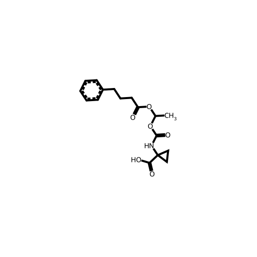 CC(OC(=O)CCCc1ccccc1)OC(=O)NC1(C(=O)O)CC1